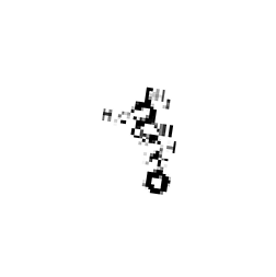 Bc1cc(NC(=S)NC(=O)Oc2ccccc2)c(=O)n(C)c1